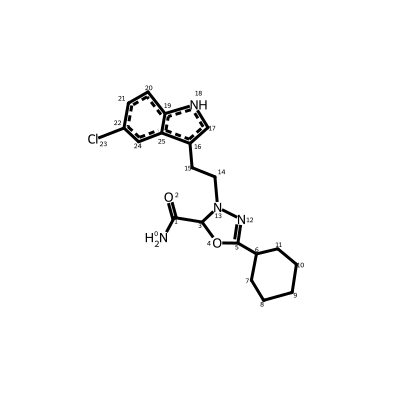 NC(=O)C1OC(C2CCCCC2)=NN1CCc1c[nH]c2ccc(Cl)cc12